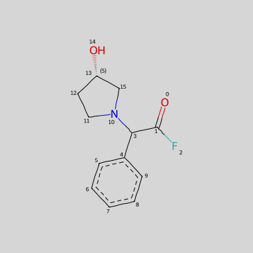 O=C(F)C(c1ccccc1)N1CC[C@H](O)C1